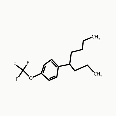 CCCCC(CCC)c1ccc(OC(F)(F)F)cc1